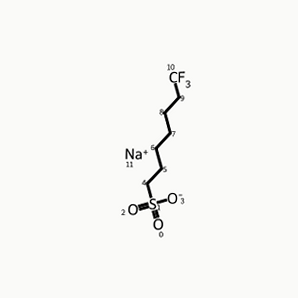 O=S(=O)([O-])CCCCCCC(F)(F)F.[Na+]